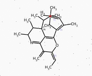 C=C1C2=NC(C)C(C)[C@]3(C)C2=C(O/C1=C/C)/C(CC(C)(C)C)=C(C)/C=C\C3C